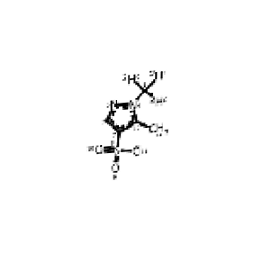 [2H]C([2H])([2H])n1ncc(S(=O)(=O)Cl)c1C